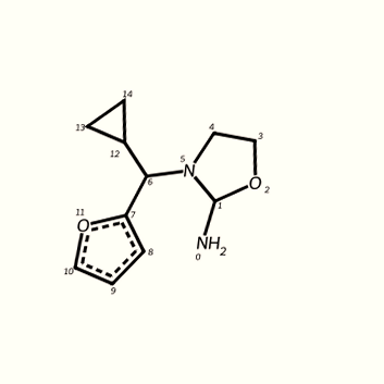 NC1OCCN1C(c1ccco1)C1CC1